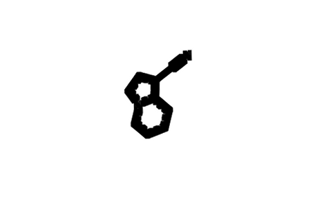 N#Cc1ccn2ccccc12